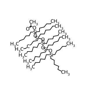 CCCCCC[Si](CCCCCC)(CCCCCC)O[Si](CCCCCC)(CCCCCC)O[Si](CCCCCC)(CCCCCC)O[Si](CCCCCC)(CCCCCC)O[Si](CCCCCC)(CCCCCC)OC(C)=O